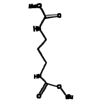 COC(=O)NCCCNC(=O)OC(C)(C)C